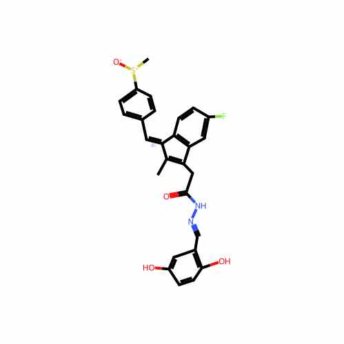 CC1=C(CC(=O)NN=Cc2cc(O)ccc2O)c2cc(F)ccc2/C1=C\c1ccc([S+](C)[O-])cc1